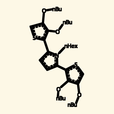 CCCCCCn1c(-c2scc(OCCCC)c2OCCCC)ccc1-c1scc(OCCCC)c1OCCCC